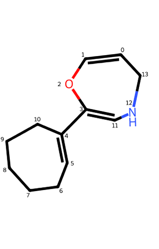 C1=COC(C2=CCCCCC2)=CNC1